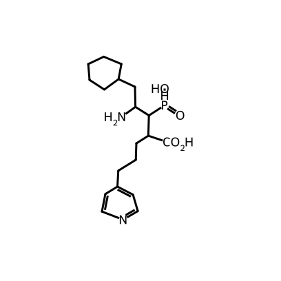 NC(CC1CCCCC1)C(C(CCCc1ccncc1)C(=O)O)[PH](=O)O